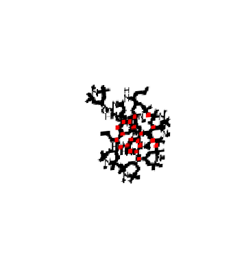 CCCC(NC1=NN(OC2CC(C)(C)N(C)C(C)(C)C2)NC(N(CCCN(C2=CC(NC(CCC)C3CC(C)(C)N(C)C(C)(C)C3)=NN(OC3CC(C)(C)N(C)C(C)(C)C3)N2)C2CC(C)(C)N(C)C(C)(C)C2)CCCN(C2=CC(NC(CCC)C3CC(C)(C)N(C)C(C)(C)C3)=NN(OC3CC(C)(C)N(C)C(C)(C)C3)N2)C2CC(C)(C)N(C)C(C)(C)C2)=C1)C1CC(C)(C)N(C)C(C)(C)C1